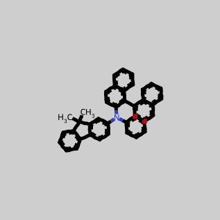 CC1(C)c2ccccc2-c2ccc(N(c3ccccc3)c3ccc4ccccc4c3-c3cccc4ccccc34)cc21